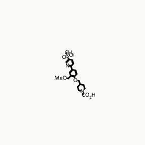 COCc1cc(-c2ccc(S(C)(=O)=O)cn2)ccc1OCC1CCN(C(=O)O)CC1